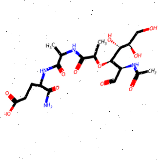 CC(=O)N[C@@H](C=O)[C@@H](OC(C)C(=O)NC(C)C(=O)NC(CCC(=O)O)C(N)=O)[C@H](O)[C@H](O)CO